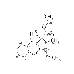 CCOC(=O)C(CC1CCCCC1)C(C)(CC)C(=O)OCC